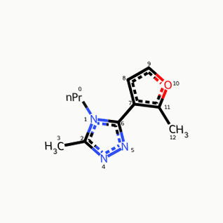 CCCn1c(C)nnc1-c1ccoc1C